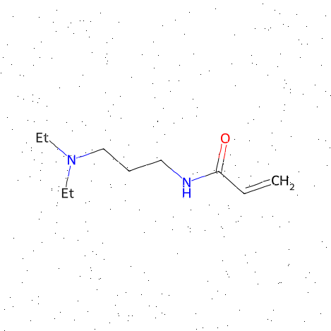 C=CC(=O)NCCCN(CC)CC